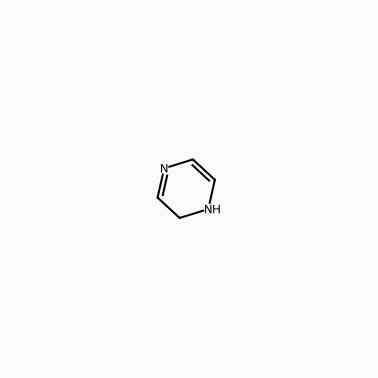 C1=CNCC=N1